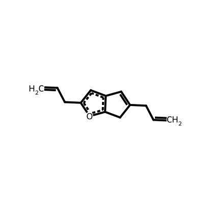 C=CCC1=Cc2cc(CC=C)oc2C1